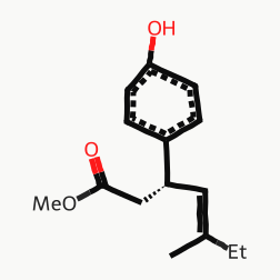 CC/C(C)=C/[C@H](CC(=O)OC)c1ccc(O)cc1